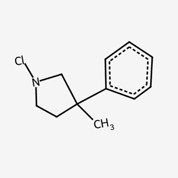 CC1(c2ccccc2)CCN(Cl)C1